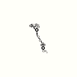 Cc1ccc(S(=O)(=O)OCCOCCOCC#Cc2cccc(/C=C(\C(O)C(C)(C)C)n3cncn3)c2)cc1